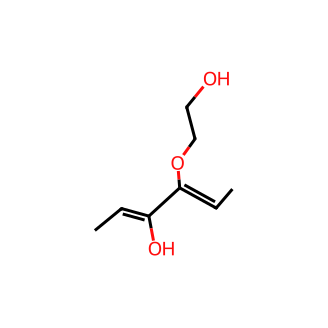 CC=C(O)C(=CC)OCCO